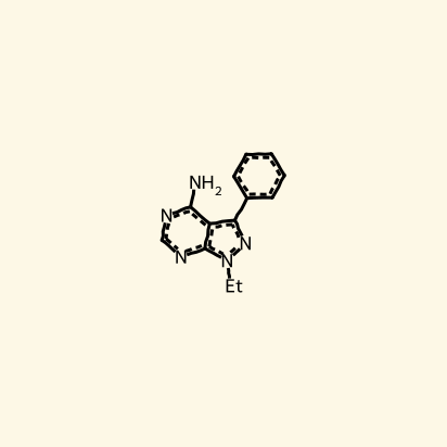 CCn1nc(-c2ccccc2)c2c(N)ncnc21